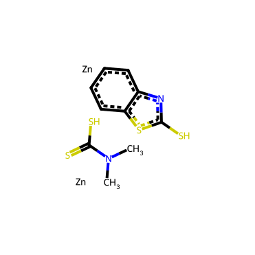 CN(C)C(=S)S.Sc1nc2ccccc2s1.[Zn].[Zn]